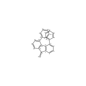 O=C1c2cccc(-c3ccccc3)c2-c2c1cccc2-c1ccccc1